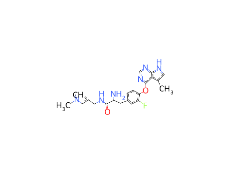 Cc1c[nH]c2ncnc(Oc3ccc(CC(N)C(=O)NCCCN(C)C)cc3F)c12